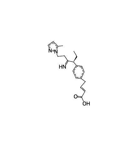 CC[C@H](C(=N)CCn1nccc1C)c1ccc(C/C=C/C(=O)O)cc1